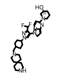 O[C@H]1CCCN(C2=NC3=CCN(c4cn(C5CCC(CN6CCC7(CCNCC7)CC6)CC5)nc4C(F)F)N3C=C2)C1